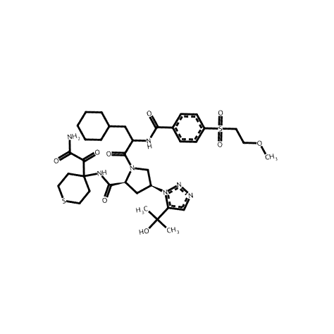 COCCS(=O)(=O)c1ccc(C(=O)NC(CC2CCCCC2)C(=O)N2C[C@@H](n3nncc3C(C)(C)O)C[C@H]2C(=O)NC2(C(=O)C(N)=O)CCSCC2)cc1